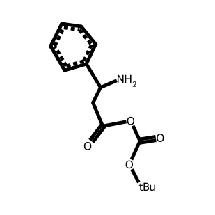 CC(C)(C)OC(=O)OC(=O)CC(N)c1ccccc1